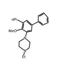 CCCc1cc(-c2ccccc2)cc(N2CCN(CC)CC2)c1OC